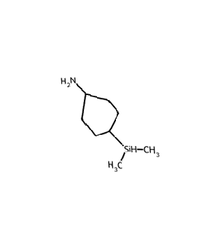 C[SiH](C)C1CCC(N)CC1